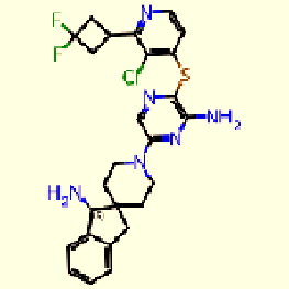 Nc1nc(N2CCC3(CC2)Cc2ccccc2[C@H]3N)cnc1Sc1ccnc(C2CC(F)(F)C2)c1Cl